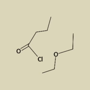 CCCC(=O)Cl.CCOCC